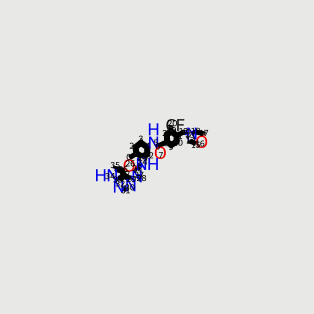 Cc1ccc(NC(=O)c2ccc(CN3CCOCC3)c(C(F)(F)F)c2)cc1NC(=O)N(C)c1ncnc2[nH]ccc12